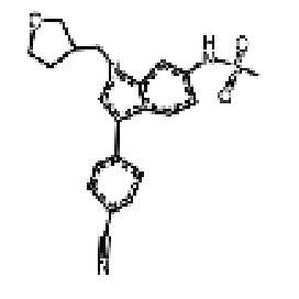 CS(=O)(=O)Nc1ccc2c(-c3ccc(C#N)cc3)cn(CC3CCOC3)c2c1